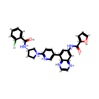 O=C(Nc1cc(-c2ccc(N3CC[C@H](NC(=O)c4ccccc4F)C3)nc2)c2nccnc2c1)c1ccco1